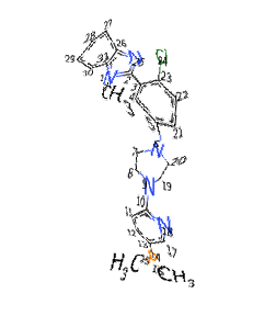 Cn1c(-c2cc(N3CCN(c4ccc(P(C)C)cn4)CC3)ccc2Cl)nc2ccccc21